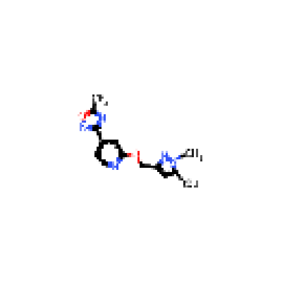 Cn1nc(COc2cc(-c3noc(C(F)(F)F)n3)ccn2)cc1C(C)(C)C